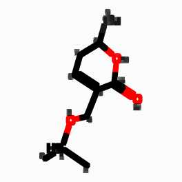 C[SiH](C)OCC1=CCC(C(C)(C)C)OC1=O